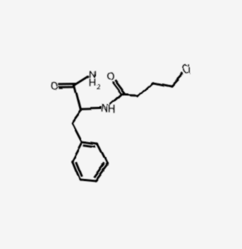 NC(=O)C(Cc1ccccc1)NC(=O)CCCCl